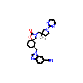 CC1(CN2C[C@@]3(CCC[C@H](Cn4cnc5ccc(C#N)cc54)C3)OC2=O)CCN(c2ncccn2)C1